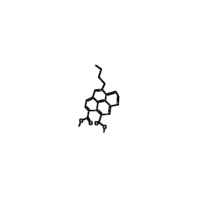 CCCCc1cc2ccc(C(=O)OC)c3c(C(=O)OC)cc4cccc1c4c23